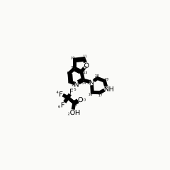 O=C(O)C(F)(F)F.c1cc2ccoc2c(N2CCNCC2)n1